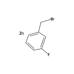 Fc1cccc(CBr)c1.[Zn]